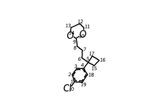 Clc1ccc(C2(CCCC3OCCCO3)CCC2)cc1